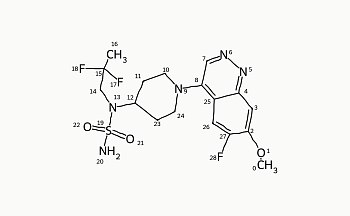 COc1cc2nncc(N3CCC(N(CC(C)(F)F)S(N)(=O)=O)CC3)c2cc1F